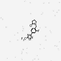 O=C1CCCN1Cc1ccc(-c2noc(C(F)(F)F)n2)cc1F